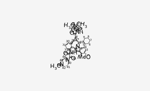 COc1ccc(C2CCCCC2)c2c1cc1n2CC2=C(C(=O)NS(=O)(=O)N(C)C)C2=C2C=CC[C@@H](NC(=O)C(=O)N3CCCN(C)CC3)C21